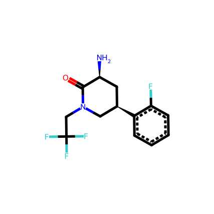 N[C@H]1C[C@@H](c2ccccc2F)CN(CC(F)(F)F)C1=O